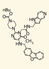 CCCCOC(=O)N1CCN(c2ncc(N[C@H](C)c3ccc4oc5ccccc5c4c3)c(=O)n2CC(=O)NCc2cc3cnccc3[nH]2)CC1